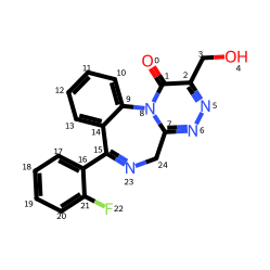 O=c1c(CO)nnc2n1-c1ccccc1C(c1ccccc1F)=NC2